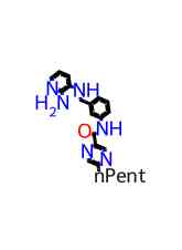 CCCCCc1cnc(C(=O)Nc2cccc(CNc3cccnc3N)c2)cn1